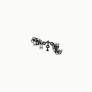 COC(=O)N[C@H](C(=O)N1CCC[C@H]1C(=O)Nc1ccc(C2=C(c3ccc(C4CC4)cc3)C(c3ccc(NC(=O)[C@@H]4CCCN4C(=O)[C@@H](NC(=O)OC)C(C)C)cc3)CC2)cc1)C(C)C